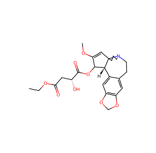 CCOC(=O)C[C@@H](O)C(=O)OC1C(OC)=CC23CCCN2CCc2cc4c(cc2[C@H]13)OCO4